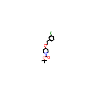 CC(C)(C)OC(=O)N1CCC(OCCc2cccc(F)c2)CC1